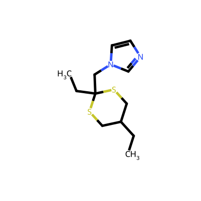 CCC1CSC(CC)(Cn2ccnc2)SC1